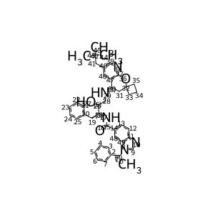 C[C@H](c1ccccc1)n1cnc2ccc(C(=O)N[C@@H](Cc3ccccc3)[C@@H](O)CN[C@H]3CC4(CCC4)Oc4ncc(CC(C)(C)C)cc43)cc21